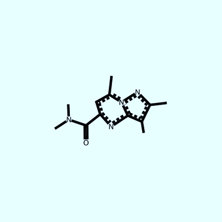 Cc1nn2c(C)cc(C(=O)N(C)C)nc2c1C